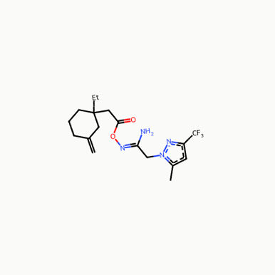 C=C1CCCC(CC)(CC(=O)O/N=C(\N)Cn2nc(C(F)(F)F)cc2C)C1